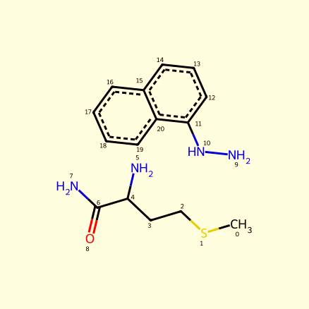 CSCCC(N)C(N)=O.NNc1cccc2ccccc12